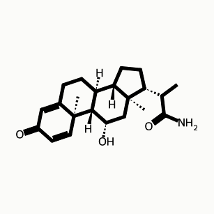 CC(C(N)=O)[C@H]1CC[C@H]2[C@@H]3CCC4=CC(=O)C=C[C@]4(C)[C@H]3[C@@H](O)C[C@]12C